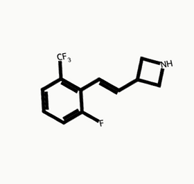 Fc1cccc(C(F)(F)F)c1C=CC1CNC1